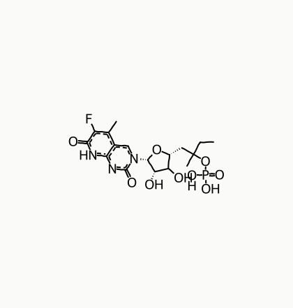 CCC(C)(C[C@H]1O[C@@H](n2cc3c(C)c(F)c(=O)[nH]c3nc2=O)[C@@H](O)C1O)OP(=O)(O)O